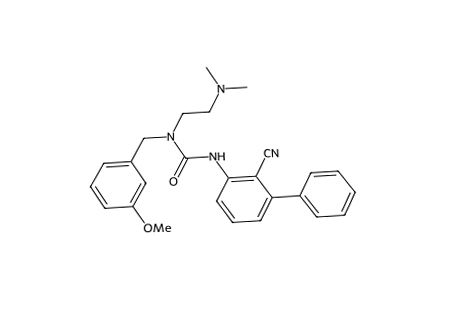 COc1cccc(CN(CCN(C)C)C(=O)Nc2cccc(-c3ccccc3)c2C#N)c1